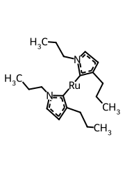 CCCc1ccn(CCC)[c]1[Ru][c]1c(CCC)ccn1CCC